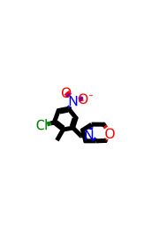 Cc1c(Cl)cc([N+](=O)[O-])cc1CN1C2CCC1COC2